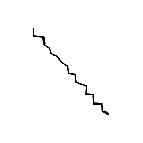 C=CC=CCCCCCCCCCCC/[C]=C/CC